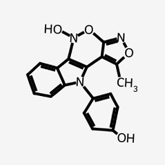 Cc1onc2c1-c1c(c3ccccc3n1-c1ccc(O)cc1)N(O)O2